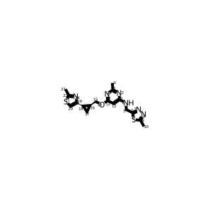 Cc1nc(NCc2nnc(C)s2)cc(OC[C@H]2C[C@@H]2c2csc(C)n2)n1